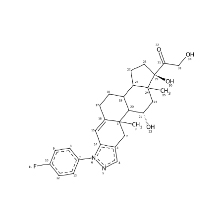 CC12Cc3cnn(-c4ccc(F)cc4)c3C=C1CCC1C2[C@@H](O)CC2(C)C1CC[C@]2(O)C(=O)CO